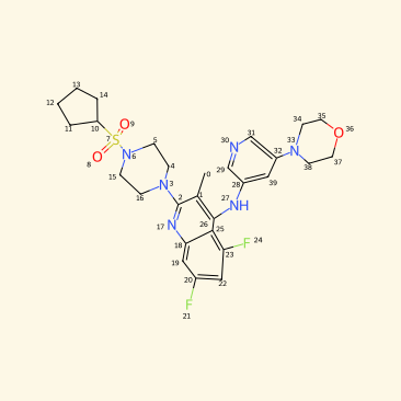 Cc1c(N2CCN(S(=O)(=O)C3CCCC3)CC2)nc2cc(F)cc(F)c2c1Nc1cncc(N2CCOCC2)c1